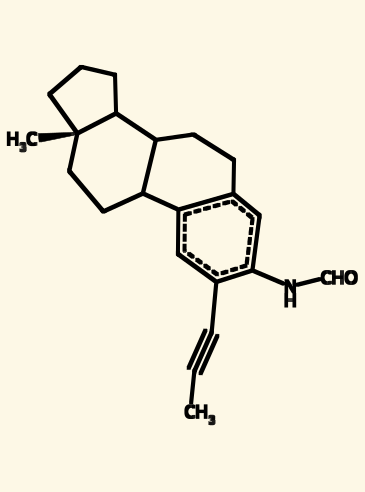 CC#Cc1cc2c(cc1NC=O)CCC1C2CC[C@]2(C)CCCC12